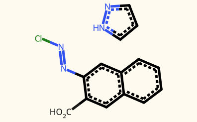 O=C(O)c1cc2ccccc2cc1N=NCl.c1cn[nH]c1